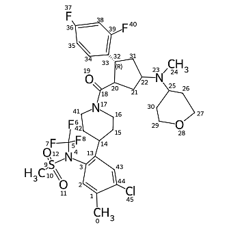 Cc1cc(N(C(F)(F)F)S(C)(=O)=O)c(C2CCN(C(=O)C3CC(N(C)C4CCOCC4)C[C@H]3c3ccc(F)cc3F)CC2)cc1Cl